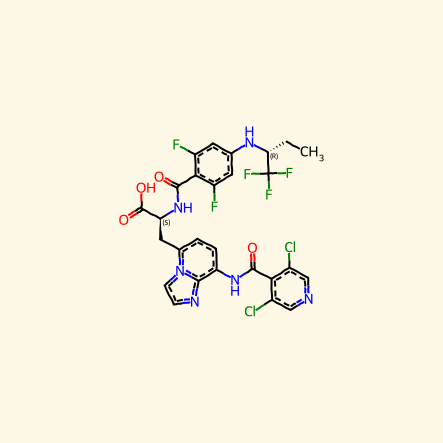 CC[C@@H](Nc1cc(F)c(C(=O)N[C@@H](Cc2ccc(NC(=O)c3c(Cl)cncc3Cl)c3nccn23)C(=O)O)c(F)c1)C(F)(F)F